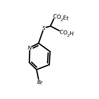 CCOC(=O)C(Sc1ccc(Br)cn1)C(=O)O